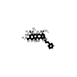 CN(C)c1cc2nc(/C=C/c3ccccc3)oc2c2c1C[C@H]1C[C@H]3[C@H](N(C)C)C(O)=C(C(N)=O)C(=O)[C@@]3(O)C(O)=C1C2=O